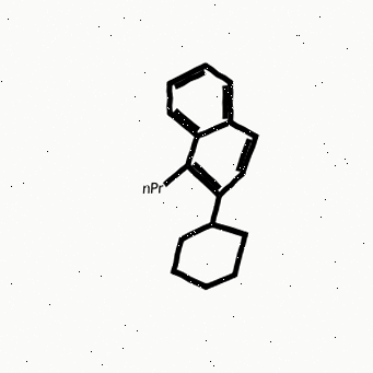 [CH2]CCc1c(C2CCCCC2)ccc2ccccc12